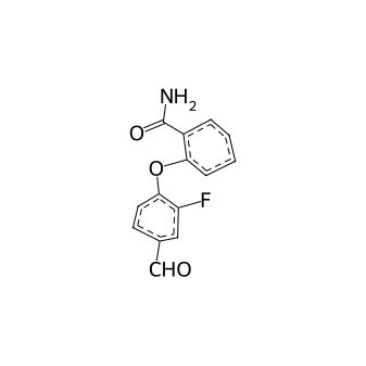 NC(=O)c1ccccc1Oc1ccc(C=O)cc1F